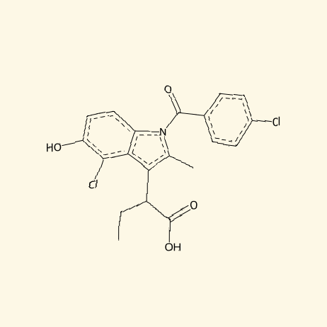 CCC(C(=O)O)c1c(C)n(C(=O)c2ccc(Cl)cc2)c2ccc(O)c(Cl)c12